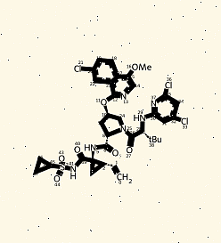 C=C[C@@H]1C[C@]1(NC(=O)[C@@H]1C[C@@H](Oc2ncc(OC)c3ccc(Cl)cc23)CN1C(=O)[C@H](Nc1cc(Cl)cc(Cl)n1)C(C)(C)C)C(=O)NS(=O)(=O)C1CC1